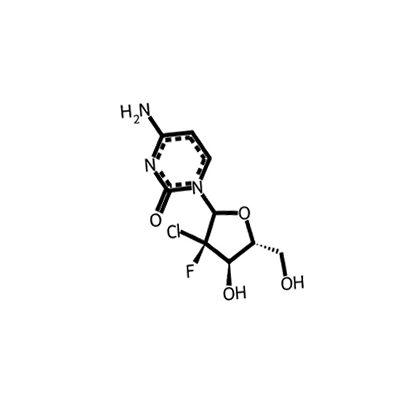 Nc1ccn(C2O[C@H](CO)[C@@H](O)[C@]2(F)Cl)c(=O)n1